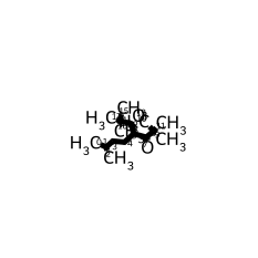 CC(C)CCC(C(=O)C(C)(C)C)C(=O)C(C)(C)C